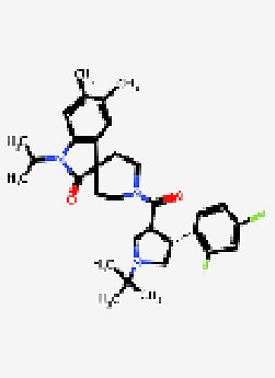 Cc1cc2c(cc1C)C1(CCN(C(=O)C3CN(C(C)(C)C)C[C@H]3c3ccc(F)cc3F)CC1)C(=O)N2C(C)C